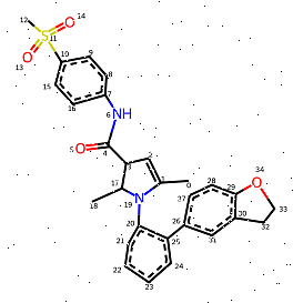 CC1=CC(C(=O)Nc2ccc(S(C)(=O)=O)cc2)C(C)N1c1ccccc1-c1ccc2c(c1)CCO2